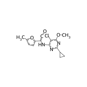 COc1nc(C2CC2)nc(NC(=C=O)c2ccc(C)o2)c1Cl